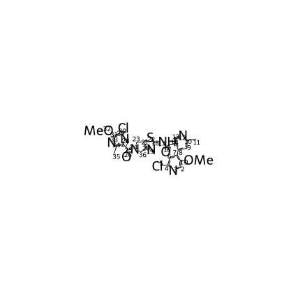 COc1cnc(Cl)cc1-c1cc(C)ncc1C(=O)Nc1nc2c(s1)CN(C(=O)c1nc(Cl)c(OC)nc1C)C2